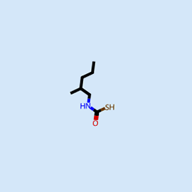 CCCC(C)CNC(=O)S